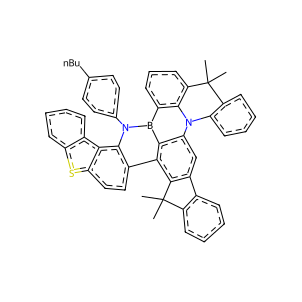 CCCCc1ccc(N2B3c4cccc5c4N(c4ccccc4C5(C)C)c4cc5c(c(c43)-c3ccc4sc6ccccc6c4c32)C(C)(C)c2ccccc2-5)cc1